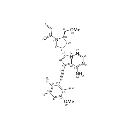 C=CC(=O)N1C[C@@H](c2cc(C#Cc3c(F)c(C)cc(OC)c3F)c3c(N)ncnn23)C[C@@H]1COC